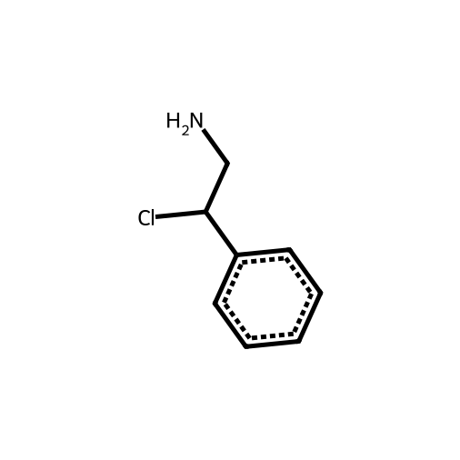 NCC(Cl)c1ccccc1